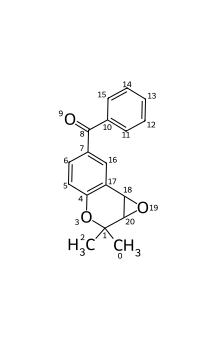 CC1(C)Oc2ccc(C(=O)c3ccccc3)cc2C2OC21